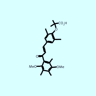 COc1c(C)c(C)c(OC)c(C(=O)C=Cc2cc(C)c(OC(C)(C)C(=O)O)c(C)c2)c1C